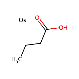 CCCC(=O)O.[Os]